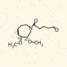 CO[C@H]1/C=C\CCN(C(=O)CCCC=O)C[C@@H]1OC